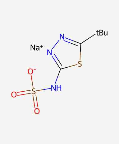 CC(C)(C)c1nnc(NS(=O)(=O)[O-])s1.[Na+]